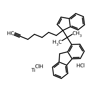 C#CCCCCCC1(C(C)(C)c2cccc3c2Cc2ccccc2-3)C=Cc2ccccc21.Cl.Cl.[Ti]